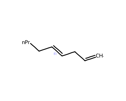 [CH]=CC/C=C/CCCC